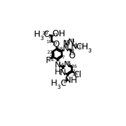 CNc1nc(Nc2cc(-n3nnn(C)c3=O)c(OCC(C)O)cc2F)ncc1Cl